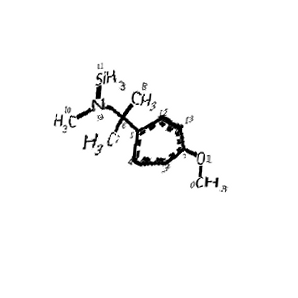 COc1ccc(C(C)(C)N(C)[SiH3])cc1